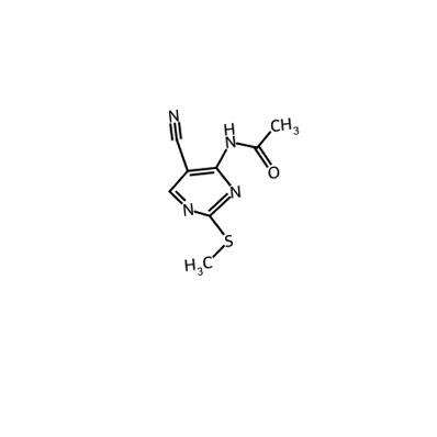 CSc1ncc(C#N)c(NC(C)=O)n1